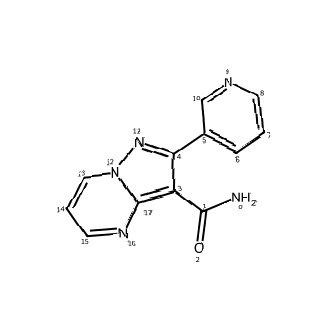 NC(=O)c1c(-c2cccnc2)nn2cccnc12